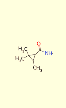 CC1C(C([NH])=O)C1(C)C